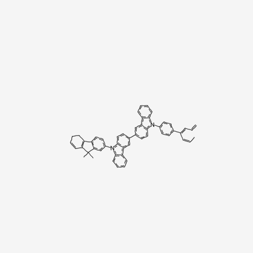 C=C/C=C(\C=C/C)c1ccc(-n2c3ccccc3c3cc(-c4ccc5c(c4)c4ccccc4n5-c4ccc5c(c4)C(C)(C)C4=C5CCC=C4)ccc32)cc1